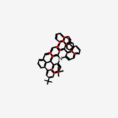 CC(C)(C)c1cc(-c2cccc3cccc(-c4ccccc4N(c4cccc(-c5cccc6oc7ccccc7c56)c4)c4ccccc4-c4cccc5cccc(-c6ccccc6)c45)c23)cc(C(C)(C)C)c1